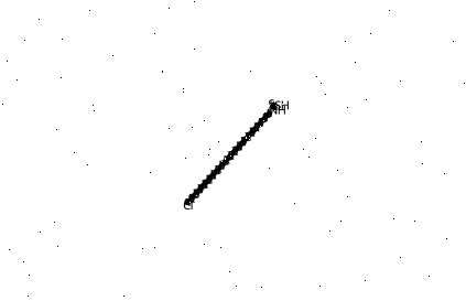 S=C(S)NCCCCCCCCCCCCCCCCCCCCCCCCCCCCCCCCCCCCCCCCl